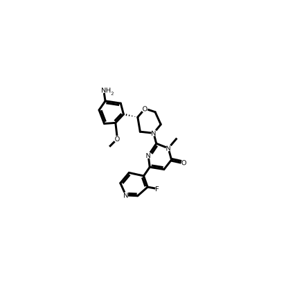 COc1ccc(N)cc1[C@H]1CN(c2nc(-c3ccncc3F)cc(=O)n2C)CCO1